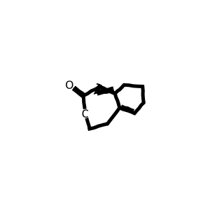 O=C1CCCC2=CCCCC23CC=CC=C13